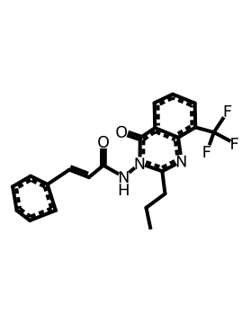 CCCc1nc2c(C(F)(F)F)cccc2c(=O)n1NC(=O)/C=C/c1ccccc1